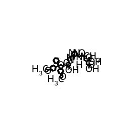 COc1ccc(C(OC[C@H]2O[C@H](n3cc4c(NC(=O)C(C)CC(CC(=O)O)C(=O)O)ncnc4n3)C[C@@H]2O)(c2ccccc2)c2ccc(OC)cc2)cc1